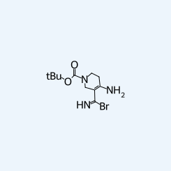 CC(C)(C)OC(=O)N1CCC(N)=C(C(=N)Br)C1